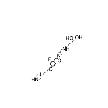 CC1(CCCCOc2ccc(CC(=O)N3CC(CNCCCC[C@H](O)CO)C3)c(F)c2)CCNCC1